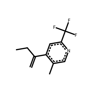 C=C(CC)c1cc(C(F)(F)F)ncc1C